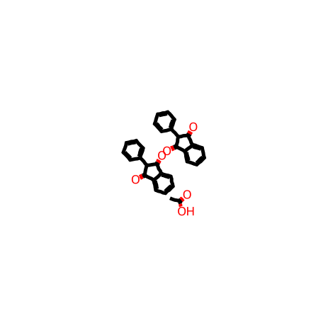 CC(=O)O.O=C1c2ccccc2C(=O)C1c1ccccc1.O=C1c2ccccc2C(=O)C1c1ccccc1